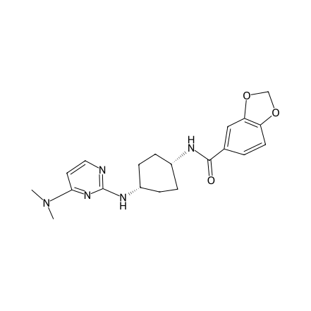 CN(C)c1ccnc(N[C@H]2CC[C@@H](NC(=O)c3ccc4c(c3)OCO4)CC2)n1